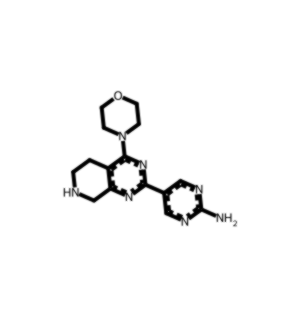 Nc1ncc(-c2nc3c(c(N4CCOCC4)n2)CCNC3)cn1